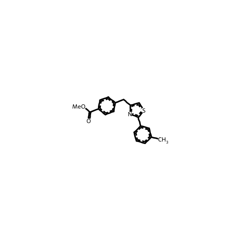 COC(=O)c1ccc(Cc2csc(-c3cccc(C)c3)n2)cc1